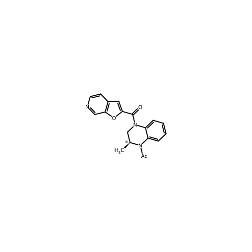 CC(=O)N1c2ccccc2N(C(=O)c2cc3ccncc3o2)C[C@@H]1C